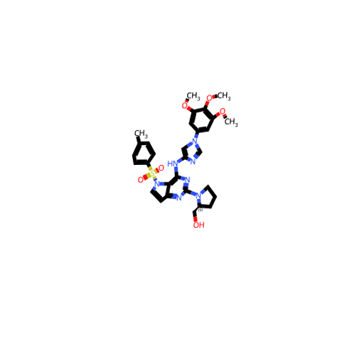 COc1cc(-n2cnc(Nc3nc(N4CCC[C@H]4CO)nc4ccn(S(=O)(=O)c5ccc(C)cc5)c34)c2)cc(OC)c1OC